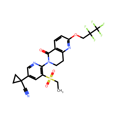 CCS(=O)(=O)c1cc(C2(C#N)CC2)cnc1N1CCc2nc(OCC(F)(F)C(F)(F)F)ccc2C1=O